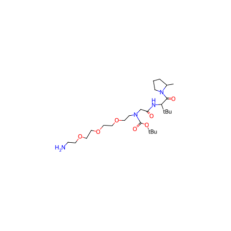 CC1CCCN1C(=O)C(NC(=O)CN(CCOCCOCCOCCN)C(=O)OC(C)(C)C)C(C)(C)C